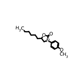 CCCCCCC1CN(c2ccc(OC)cc2)C(=O)O1